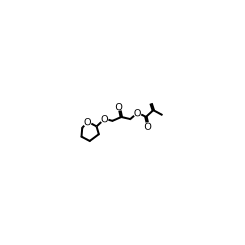 C=C(C)C(=O)OCC(=O)COC1CCCCO1